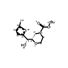 CC(C)(C)OC(=O)N1CCO[C@H]([C@H](O)c2ccc(I)s2)C1